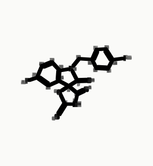 O=C1NC(=O)C2(O1)C(=O)N(Cc1ccc(F)cc1)c1ccc(F)cc12